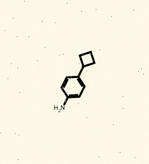 Nc1ccc([C]2CCC2)cc1